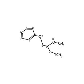 CCC(COc1ccccc1)OC